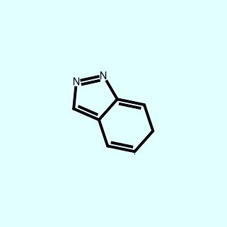 [C]1=CC2=CN=NC2=CC1